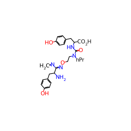 C=N/C(=N\OCCN(CCC)C(=O)NC(Cc1ccc(O)cc1)C(=O)O)C(N)Cc1ccc(O)cc1